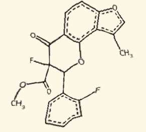 COC(=O)C1(F)C(=O)c2ccc3occ(C)c3c2OC1c1ccccc1F